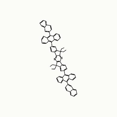 CCC1(CC)c2cc(-c3c4ccccc4c(-c4ccc5ccccc5c4)c4ccccc34)ccc2-c2nc3c(nc21)-c1ccc(-c2c4ccccc4c(-c4ccc5ccccc5c4)c4ccccc24)cc1C3(CC)CC